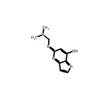 CN(C)CN=C1C=C(O)C2=NC=CC2=N1